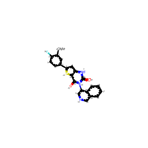 COc1cc(-c2cc3[nH]c(=O)n(-c4cncc5ccccc45)c(=O)c3s2)ccc1F